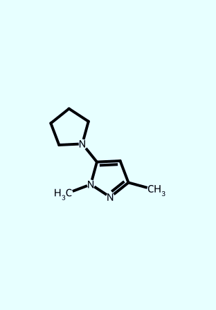 Cc1cc(N2CCCC2)n(C)n1